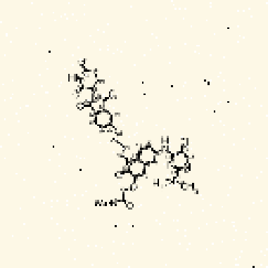 CNC(=O)COc1cc2cc(Nc3nc(N(C)C)ncc3Cl)ccc2n(CCCOc2ccc3c(c2)C(=O)N(C2CCC(=O)NC2=O)C3=O)c1=O